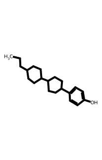 CCCC1CCC(C2CCC(c3ccc(O)cc3)CC2)CC1